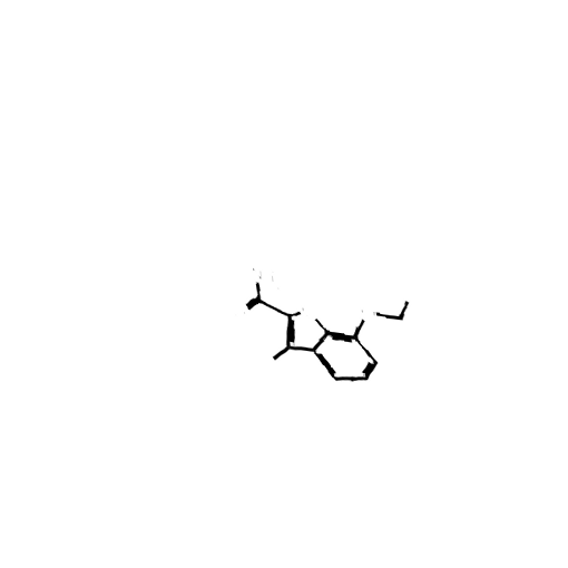 CCOc1cccc2c(C)c(C(N)=O)oc12